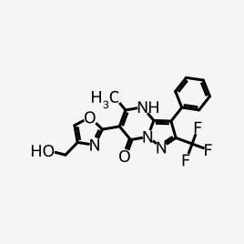 Cc1[nH]c2c(-c3ccccc3)c(C(F)(F)F)nn2c(=O)c1-c1nc(CO)co1